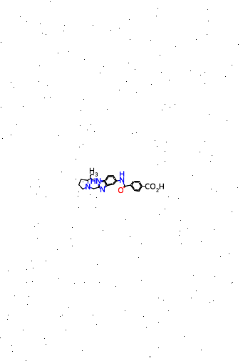 C[C@@H]1CCCN1Cc1nc2cc(NC(=O)c3ccc(C(=O)O)cc3)ccc2[nH]1